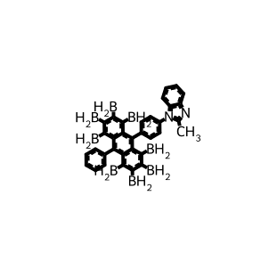 Bc1c(B)c(B)c2c(-c3ccc(-n4c(C)nc5ccccc54)cc3)c3c(B)c(B)c(B)c(B)c3c(-c3ccccc3)c2c1B